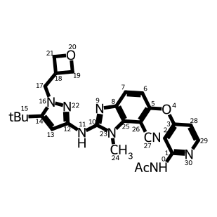 CC(=O)Nc1cc(Oc2ccc3nc(Nc4cc(C(C)(C)C)n(CC5COC5)n4)n(C)c3c2C#N)ccn1